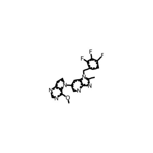 COc1ncnc2ccn(-c3cnc4nc(C)n(Cc5ccc(F)c(F)c5F)c4c3)c12